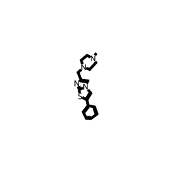 CN1CCN(Cc2cn3cc(-c4ccccc4)sc3n2)CC1